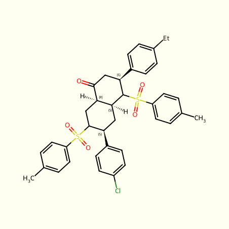 CCc1ccc([C@@H]2CC(=O)[C@@H]3CC(S(=O)(=O)c4ccc(C)cc4)[C@H](c4ccc(Cl)cc4)C[C@@H]3C2S(=O)(=O)c2ccc(C)cc2)cc1